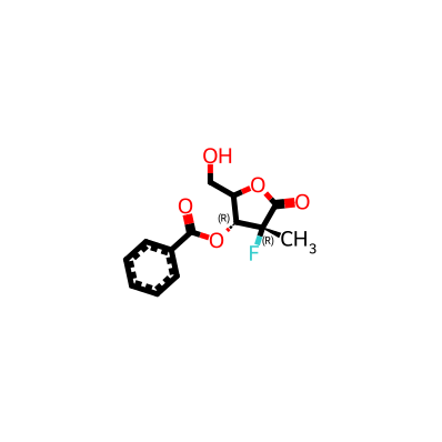 C[C@]1(F)C(=O)OC(CO)[C@H]1OC(=O)c1ccccc1